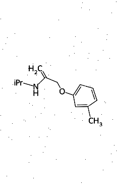 C=C(COc1cccc(C)c1)NC(C)C